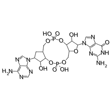 Nc1nc2c(ncn2C2OC3COP(=O)(O)OC4C(COP(=O)(O)OC3C2O)CC(n2cnc3c(N)ncnc32)C4O)c(=O)[nH]1